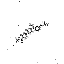 COC(=O)CCc1cccc(N(C=O)N2CCN(N3CCC(C(=O)OC(C)(C)C)CC3)CC2)c1